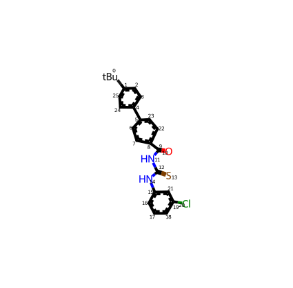 CC(C)(C)c1ccc(-c2ccc(C(=O)NC(=S)Nc3cccc(Cl)c3)cc2)cc1